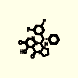 O=C1c2c(O)c(=O)cnn2[C@@H]([C@@H](c2ccccc2)c2cc(F)cc(F)c2)[C@H]2CCCN12